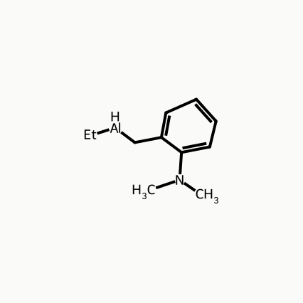 C[CH2][AlH][CH2]c1ccccc1N(C)C